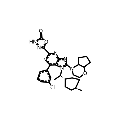 CC([C@H]1CC[C@H](C)CC1)n1c(N2CCOC3CCCC32)nc2nc(-c3n[nH]c(=O)o3)nc(-c3cccc(Cl)c3)c21